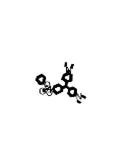 CCN(CC)c1ccc(C(=C2C=CC(O[PH](=O)Oc3ccccc3)=CC2)c2ccc(N(CC)CC)cc2)cc1